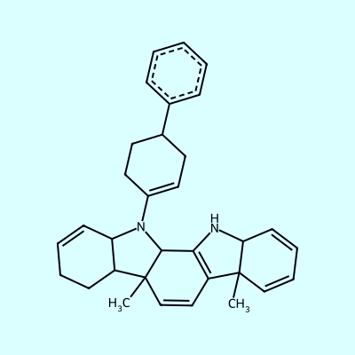 CC12C=CC=CC1NC1=C2C=CC2(C)C3CCC=CC3N(C3=CCC(c4ccccc4)CC3)C12